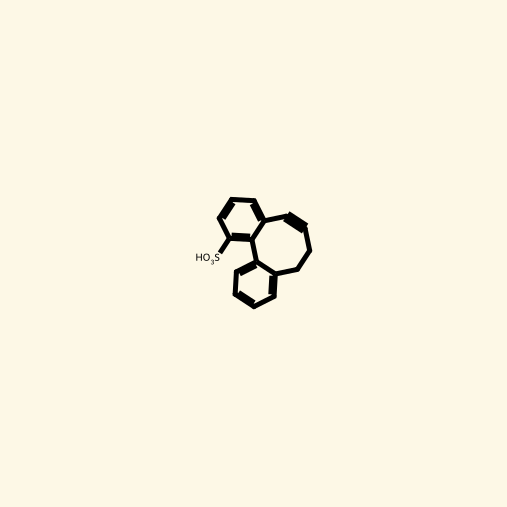 O=S(=O)(O)c1cccc2c1-c1ccccc1CCC#C2